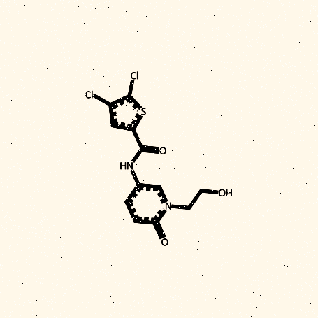 O=C(Nc1ccc(=O)n(CCO)c1)c1cc(Cl)c(Cl)s1